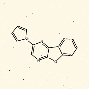 C1=C[SH](c2cnc3oc4ccccc4c3n2)C=C1